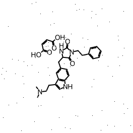 CN(C)CCc1c[nH]c2ccc(CC3NC(=O)N(CCc4ccccc4)C3=O)cc12.O=C(O)/C=C\C(=O)O